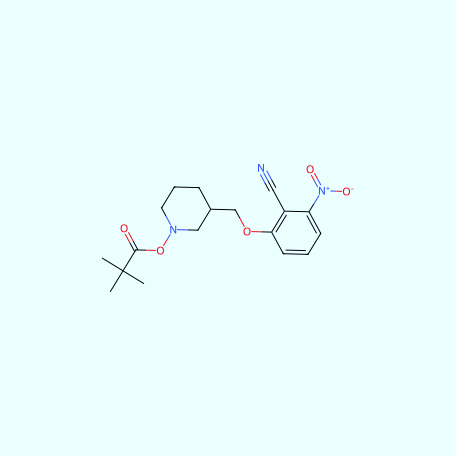 CC(C)(C)C(=O)ON1CCCC(COc2cccc([N+](=O)[O-])c2C#N)C1